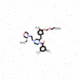 COCCOCOc1cc(CC2CN(CCN3CCOC[C@H]3COC)CCN2C(=O)c2cc(C(F)(F)F)cc(C(F)(F)F)c2)ccc1C